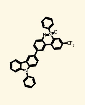 O=S1(c2ccccc2)=Nc2ccc(-c3ccc4c(c3)c3ccccc3n4-c3ccccc3)cc2-c2ccc(C(F)(F)F)cc21